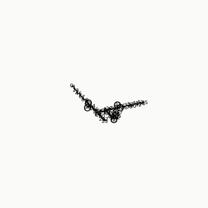 CCCCCCCCCCCOC(=O)CCCCN(CCCCC)CCCN(CCCCC(=O)OCCCCCCCCCCC)CCCC(=O)[Si](C)(C)C(C)(C)C